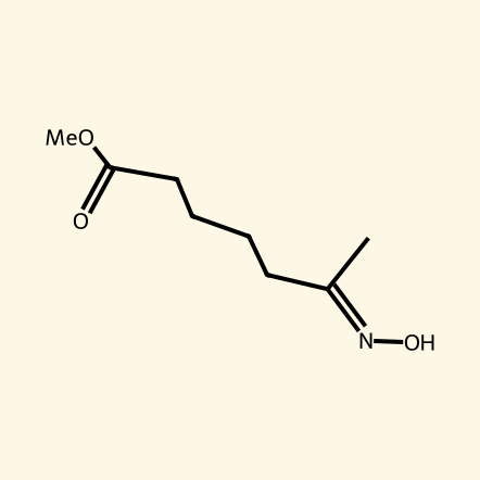 COC(=O)CCCC/C(C)=N/O